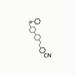 C[C@@H](CC1CCC(C2CCC(CCc3ccc(C#N)cc3)CC2)CC1)c1ccccc1